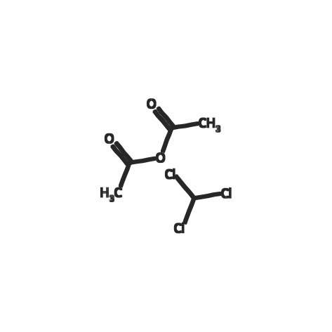 CC(=O)OC(C)=O.ClC(Cl)Cl